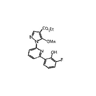 CCOC(=O)c1cnn(-c2cccc(-c3cccc(F)c3O)n2)c1OC